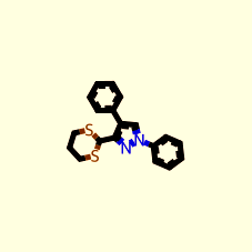 c1ccc(-c2cn(-c3ccccc3)nc2C2SCCCS2)cc1